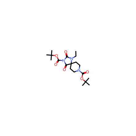 CCN1C(=O)N(C(=O)OC(C)(C)C)C(=O)C12CCN(C(=O)OC(C)(C)C)CC2